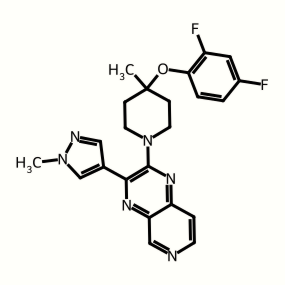 Cn1cc(-c2nc3cnccc3nc2N2CCC(C)(Oc3ccc(F)cc3F)CC2)cn1